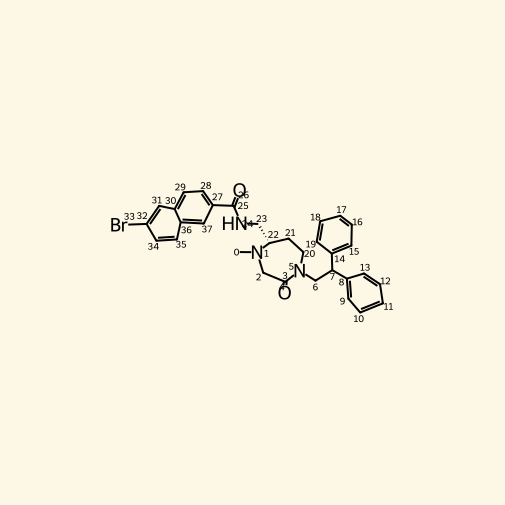 CN1CC(=O)N(CC(c2ccccc2)c2ccccc2)CC[C@H]1CNC(=O)c1ccc2cc(Br)ccc2c1